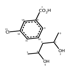 CC(O)CC(C)O.O=C(O)c1cccc(Cl)c1